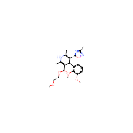 COCCOC(=O)C1=C(C)NC(C)=C(c2nc(C)no2)C1c1cccc(OC)c1OC